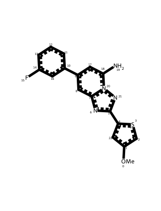 COc1csc(-c2nc3cc(-c4cccc(F)c4)cc(N)n3n2)c1